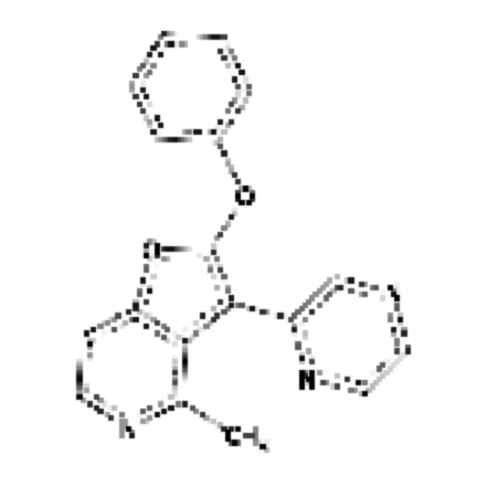 Cc1nccc2oc(Oc3ccccc3)c(-c3cnccn3)c12